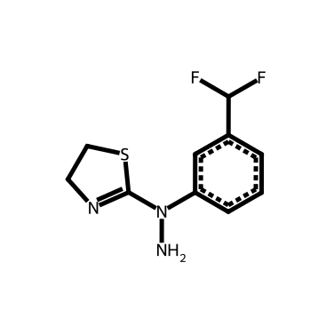 NN(C1=NCCS1)c1cccc(C(F)F)c1